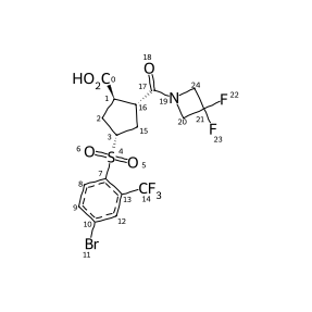 O=C(O)[C@@H]1C[C@@H](S(=O)(=O)c2ccc(Br)cc2C(F)(F)F)C[C@H]1C(=O)N1CC(F)(F)C1